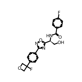 O=C(N[C@@H](CO)c1nc(-c2ccc(C3(F)COC3)cc2)no1)c1ccc(F)cc1